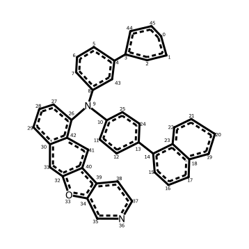 c1ccc(-c2cccc(N(c3ccc(-c4cccc5ccccc45)cc3)c3cccc4cc5oc6cnccc6c5cc34)c2)cc1